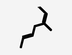 [CH2]C=C(C)CC=CC